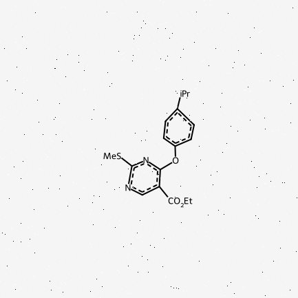 CCOC(=O)c1cnc(SC)nc1Oc1ccc(C(C)C)cc1